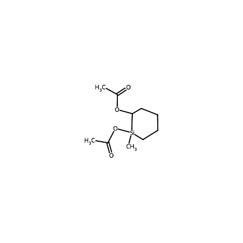 CC(=O)OC1CCCC[Si]1(C)OC(C)=O